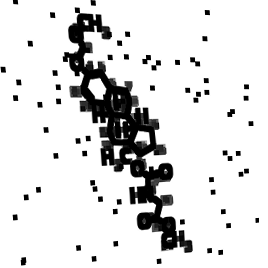 COCOC1=CC2=CC[C@@H]3[C@H](CC[C@]4(C)[C@@H](OC(=O)NCC(=O)OC)CC[C@@H]34)[C@H]2C=C1